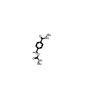 C[C@H](OC(=O)NC(C)(C)C)c1ccc(C(=O)NC(C)(C)C)cc1